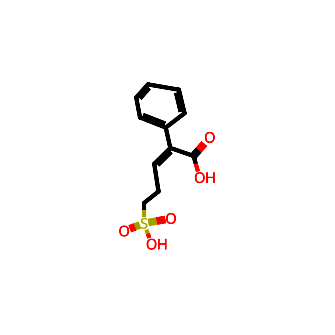 O=C(O)C(=CCCS(=O)(=O)O)c1ccccc1